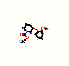 CCOc1ccccc1OC1CCCN(C(=O)OC(C)(C)C)C1